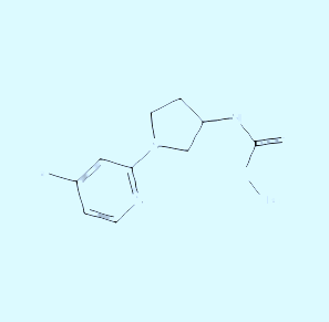 CC(C)(C)OC(=O)NC1CCN(c2cc(Br)ccn2)C1